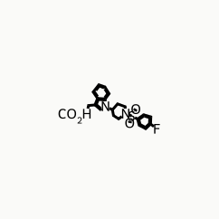 O=C(O)Cc1cn(C2CCN(S(=O)(=O)c3ccc(F)cc3)CC2)c2ccccc12